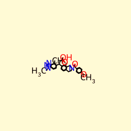 CCn1nnc2c(C)c(C(CC(=O)O)c3ccc4c(c3)CN(C(=O)c3ccc(OC)cc3)CC4)ccc21